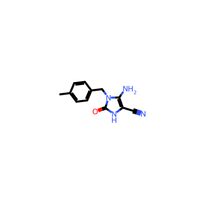 Cc1ccc(Cn2c(N)c(C#N)[nH]c2=O)cc1